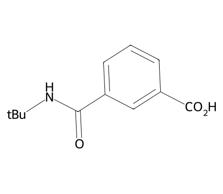 CC(C)(C)NC(=O)c1cccc(C(=O)O)c1